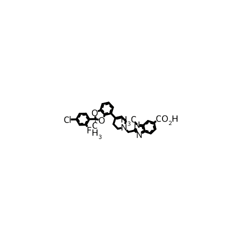 Cn1c(CN2CC=C(c3cccc4c3O[C@@](C)(c3ccc(Cl)cc3F)O4)CC2)nc2ccc(C(=O)O)cc21